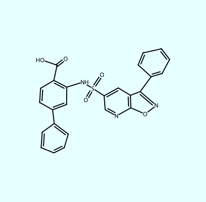 O=C(O)c1ccc(-c2ccccc2)cc1NS(=O)(=O)c1cnc2onc(-c3ccccc3)c2c1